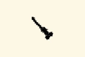 Cc1ccccc1[S+](c1ccccc1)c1ccccc1.O=C(OCCCCCCCCCCCCBr)C(F)(F)S(=O)(=O)[O-]